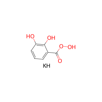 O=C(OO)c1cccc(O)c1O.[KH]